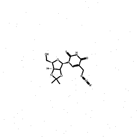 CC1(C)OC2[C@@H](O1)[C@@H](CO)O[C@H]2n1cc(CN=[N+]=[N-])c(=O)[nH]c1=S